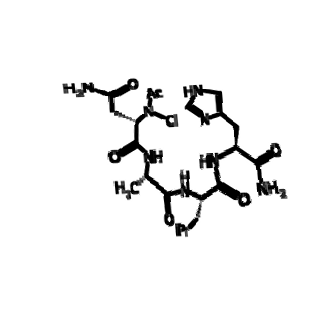 CC(=O)N(Cl)[C@@H](CC(N)=O)C(=O)N[C@@H](C)C(=O)N[C@@H](CC(C)C)C(=O)N[C@@H](Cc1c[nH]cn1)C(N)=O